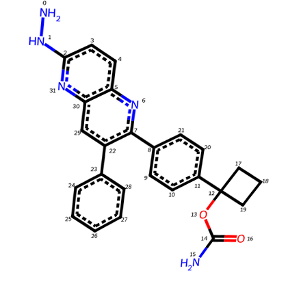 NNc1ccc2nc(-c3ccc(C4(OC(N)=O)CCC4)cc3)c(-c3ccccc3)cc2n1